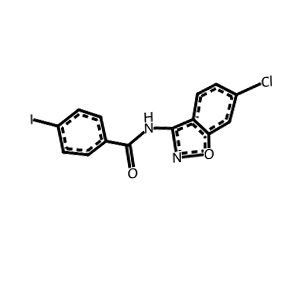 O=C(Nc1noc2cc(Cl)ccc12)c1ccc(I)cc1